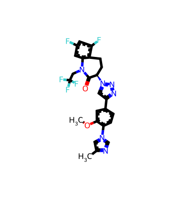 COc1cc(-c2cn([C@@H]3CCc4c(F)cc(F)cc4N(CC(F)(F)F)C3=O)nn2)ccc1-n1cnc(C)c1